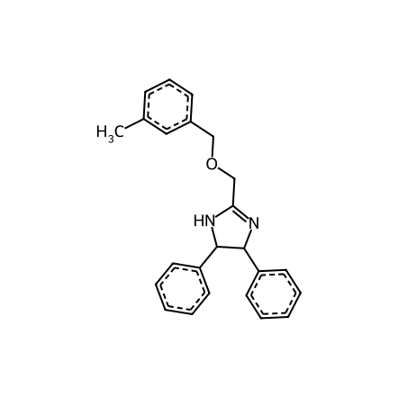 Cc1cccc(COCC2=NC(c3ccccc3)C(c3ccccc3)N2)c1